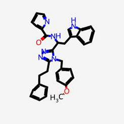 COc1ccc(Cn2c(CCc3ccccc3)nnc2C(Cc2c[nH]c3ccccc23)NC(=O)c2ccccn2)cc1